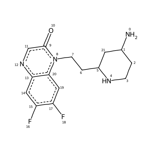 NC1CCNC(CCn2c(=O)cnc3cc(F)c(F)cc32)C1